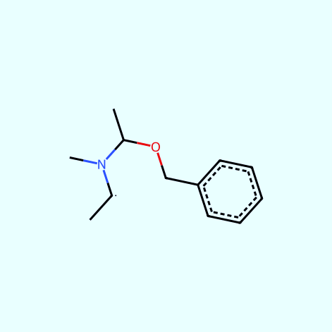 C[CH]N(C)C(C)OCc1ccccc1